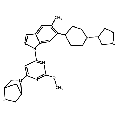 COc1nc(N2CC3CC2CO3)cc(-n2ncc3cc(C)c(C4CCN(C5CCOC5)CC4)cc32)n1